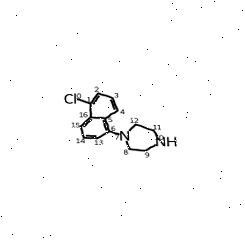 Clc1cccc2c(N3CCNCC3)cccc12